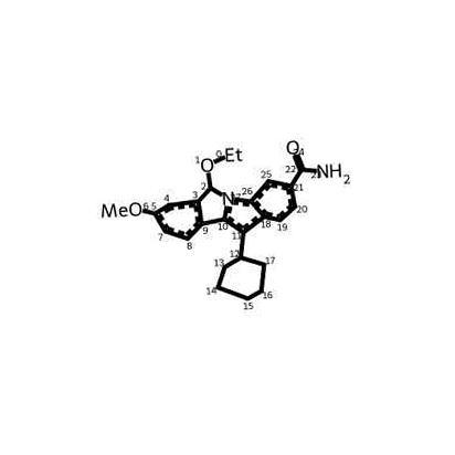 CCOC1c2cc(OC)ccc2-c2c(C3CCCCC3)c3ccc(C(N)=O)cc3n21